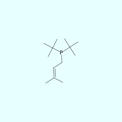 CC(C)=CCP(C(C)(C)C)C(C)(C)C